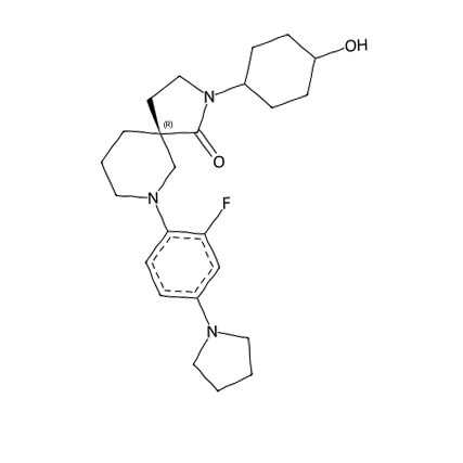 O=C1N(C2CCC(O)CC2)CC[C@@]12CCCN(c1ccc(N3CCCC3)cc1F)C2